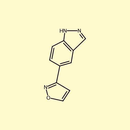 c1cc(-c2ccc3[nH]ncc3c2)no1